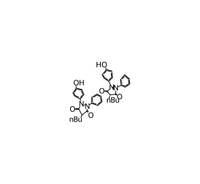 CCCCC1C(=O)N(c2ccccc2)N(c2ccc(O)cc2)C1=O.CCCC[C@@H]1C(=O)N(c2ccccc2)N(c2ccc(O)cc2)C1=O